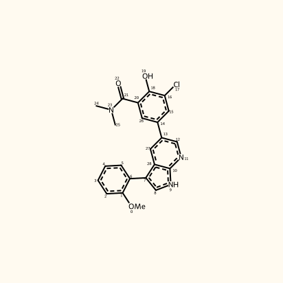 COc1ccccc1-c1c[nH]c2ncc(-c3cc(Cl)c(O)c(C(=O)N(C)C)c3)cc12